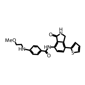 COCCNc1ccc(C(=O)Nc2ccc(-c3cccs3)c3c2C(=O)NC3)cc1